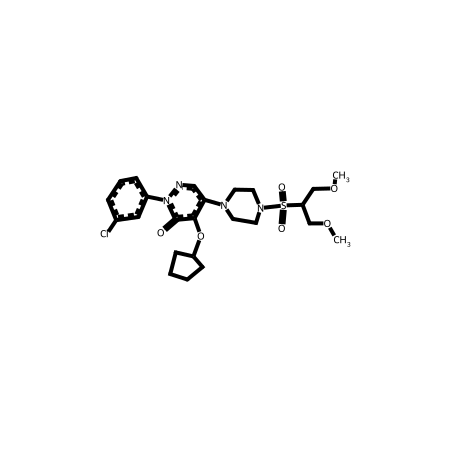 COCC(COC)S(=O)(=O)N1CCN(c2cnn(-c3cccc(Cl)c3)c(=O)c2OC2CCCC2)CC1